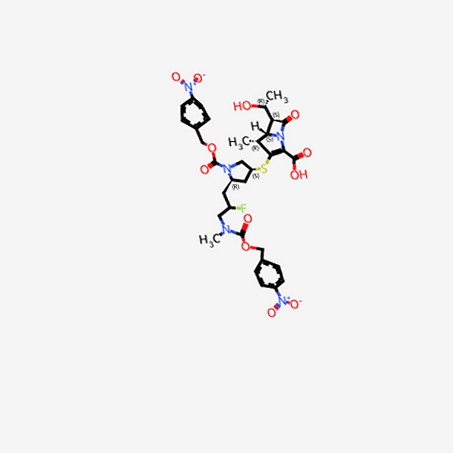 C[C@@H](O)[C@H]1C(=O)N2C(C(=O)O)=C(S[C@H]3C[C@@H](CC(F)CN(C)C(=O)OCc4ccc([N+](=O)[O-])cc4)N(C(=O)OCc4ccc([N+](=O)[O-])cc4)C3)[C@H](C)[C@H]12